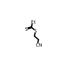 CCC(=S)SCCC#N